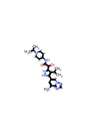 Cc1cc(-c2[nH]nc(C(=O)C(=O)NC3CCN(C(C)C)CC3)c2C(C)C)cn2ncnc12